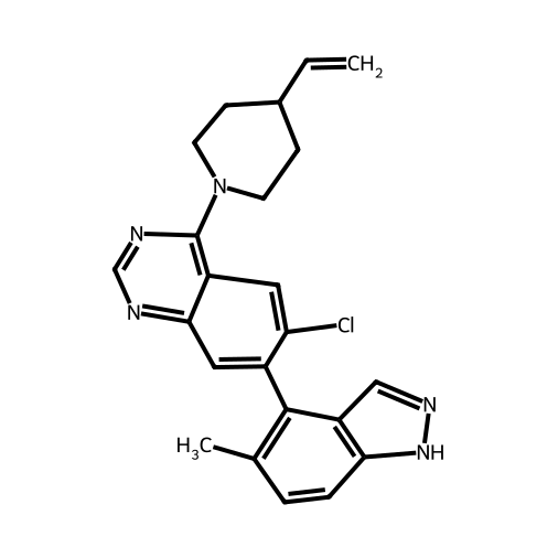 C=CC1CCN(c2ncnc3cc(-c4c(C)ccc5[nH]ncc45)c(Cl)cc23)CC1